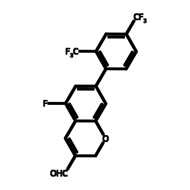 O=CC1=Cc2c(F)cc(-c3ccc(C(F)(F)F)cc3C(F)(F)F)cc2OC1